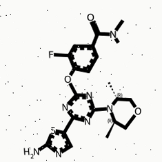 C[C@@H]1COC[C@@H](C)N1c1nc(Oc2ccc(C(=O)N(C)C)cc2F)nc(-c2cnc(N)s2)n1